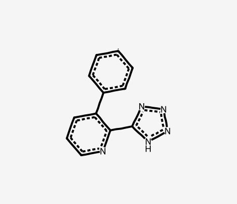 [c]1ccc(-c2cccnc2-c2nnn[nH]2)cc1